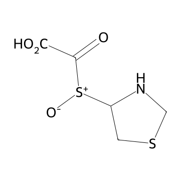 O=C(O)C(=O)[S+]([O-])C1CSCN1